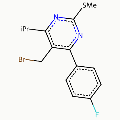 CSc1nc(-c2ccc(F)cc2)c(CBr)c(C(C)C)n1